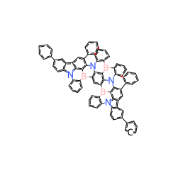 c1ccc(-c2ccc3c(c2)c2cc(-c4ccccc4)c4c5c2n3-c2ccccc2B5c2cc3c5c6c2N4c2ccccc2B6c2ccccc2N5c2c(-c4ccccc4)cc4c5cc(-c6ccccc6)ccc5n5c4c2B3c2ccccc2-5)cc1